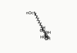 CCCCCCCC/C=C/CCCCCCCCCCCC(=O)NCC(O)COP(=O)(O)O